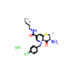 C[C@H]1SC2=CC(C(=O)NCCCC(F)(F)F)=CN(Cc3ccc(Cl)cc3)C2C(=O)[C@H]1N.Cl